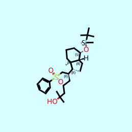 CC(C)(O)CCC[C@@H](CS(=O)(=O)c1ccccc1)[C@H]1CC[C@H]2[C@@H](O[Si](C)(C)C(C)(C)C)CCC[C@]12C